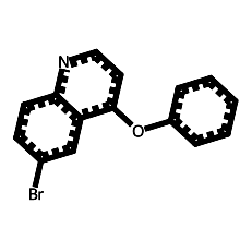 Brc1ccc2nccc(Oc3ccccc3)c2c1